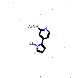 CCn1cccc1-c1ccnc(NC(C)=O)c1